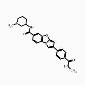 CNC(=O)c1ccc(-c2cn3c(n2)sc2cc(C(=O)NC4CCCN(C)C4)ccc23)cc1